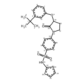 CC(C)(C)c1cccc(OC2CCN(c3ccc(S(=O)(=O)Nc4nccs4)cc3)C2=O)c1